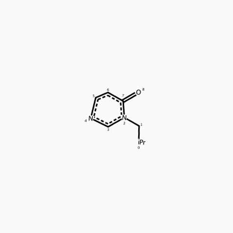 CC(C)Cn1cnccc1=O